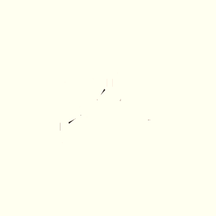 CC(C)C1=C[C@@H]2[C@@H](CC[C@@H]2C)[C@@H](C)CC1